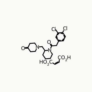 O=C(O)/C=C\C(=O)O.O=C1CCN(CC2CCCCN2C(=O)Cc2ccc(Cl)c(Cl)c2)CC1